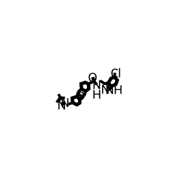 Cc1cnn(Cc2ccc3c(c2)C2OC3c3cc(C(=O)NCc4n[nH]c5ccc(Cl)cc45)ccc32)c1